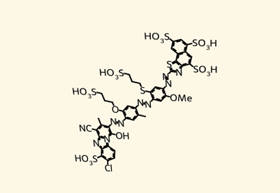 COc1cc(N=Nc2cc(OCCCS(=O)(=O)O)c(N=Nc3c(C)c(C#N)c4nc5c(S(=O)(=O)O)c(Cl)ccc5n4c3O)cc2C)c(SCCCS(=O)(=O)O)cc1N=Nc1nc2c(S(=O)(=O)O)cc3c(S(=O)(=O)O)cc(S(=O)(=O)O)cc3c2s1